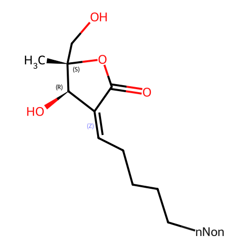 CCCCCCCCCCCCC/C=C1\C(=O)O[C@@](C)(CO)[C@@H]1O